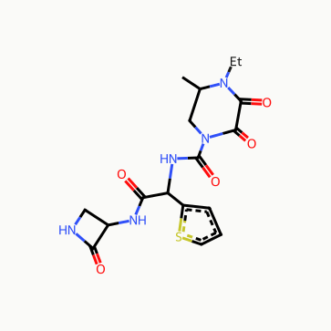 CCN1C(=O)C(=O)N(C(=O)NC(C(=O)NC2CNC2=O)c2cccs2)CC1C